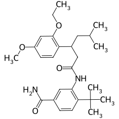 CCOc1cc(OC)ccc1C(CC(=O)Nc1cc(C(N)=O)ccc1C(C)(C)C)CC(C)C